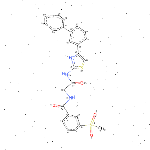 CS(=O)(=O)c1cccc(C(=O)NCC(=O)Nc2nc(-c3cccc(-c4ccccc4)c3)cs2)c1